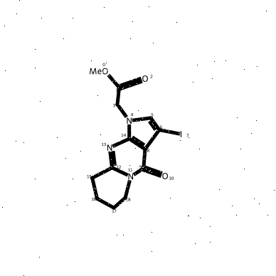 COC(=O)Cn1cc(I)c2c(=O)n3c(nc21)CCCC3